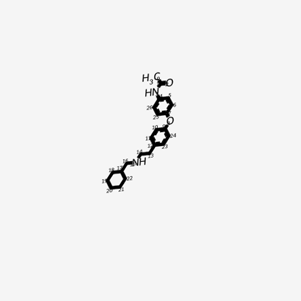 CC(=O)Nc1ccc(Oc2ccc(CCNCC3CCCCC3)cc2)cc1